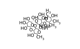 CCCO[C@@H]1OC(C)[C@H](O)[C@H](O[C@H]2O[C@@H](CO)[C@@H](O)C(O)C2O)C1O[C@@H]1OC(CO)[C@@H](O)[C@H](O[C@@H]2OC(C)[C@H](O)[C@H](C)C2C)C1NC(C)=O